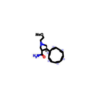 COCCN1CC(C(N)=O)[C@@H](C2=C/C=C\C=C/C=C\C=C/C=C\2)C1